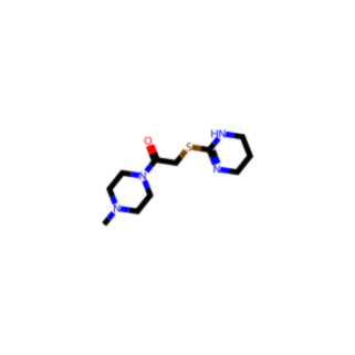 CN1CCN(C(=O)CSC2=NCCCN2)CC1